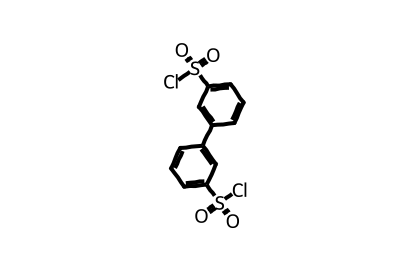 O=S(=O)(Cl)c1cccc(-c2cccc(S(=O)(=O)Cl)c2)c1